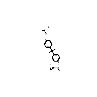 CCC(O)COc1ccc(C(C)(C)c2ccc(OC(C)C3CO3)cc2)cc1